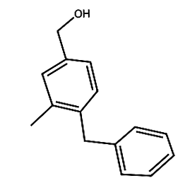 Cc1cc(CO)ccc1Cc1ccccc1